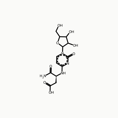 NC(=O)[C@H](CC(=O)O)Nc1ccn(C2OC(CO)C(O)C2O)c(=O)n1